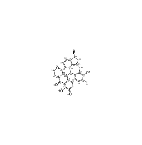 O=C1c2c(O)c(=O)ccn2N(C2c3ccc(F)c(F)c3CN3CC(F)c4cccc2c43)C2COCCN12